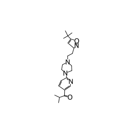 CC(C)C(=O)c1ccc(N2CCN(CCc3cc(C(C)(C)C)on3)CC2)nc1